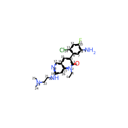 CCn1c(=O)c(-c2cc(N)c(F)cc2Cl)cc2cnc(NCCN(C)C)cc21